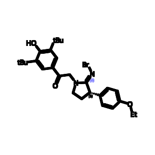 CCOc1ccc([C@@H]2CCN(CC(=O)c3cc(C(C)(C)C)c(O)c(C(C)(C)C)c3)/C2=N\Br)cc1